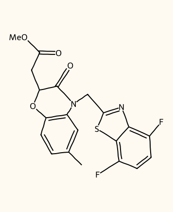 COC(=O)CC1Oc2ccc(C)cc2N(Cc2nc3c(F)ccc(F)c3s2)C1=O